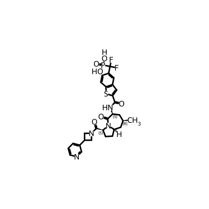 C[C@H]1C[C@H]2CC[C@@H](C(=O)N3CC(c4cccnc4)C3)N2C(=O)[C@@H](NC(=O)c2cc3cc(C(F)(F)P(=O)(O)O)ccc3s2)C1